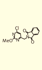 COc1nc(Cl)cc(CN2C(=O)c3ccccc3C2=O)n1